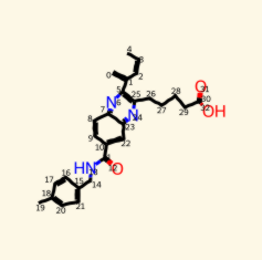 C=C(/C=C\C)c1nc2ccc(C(=O)NCc3ccc(C)cc3)cc2nc1CCCCC(=O)O